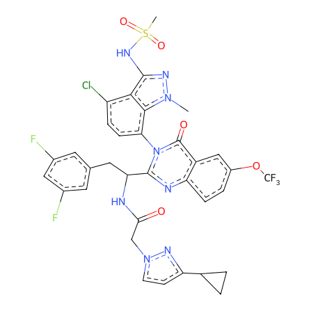 Cn1nc(NS(C)(=O)=O)c2c(Cl)ccc(-n3c(C(Cc4cc(F)cc(F)c4)NC(=O)Cn4ccc(C5CC5)n4)nc4ccc(OC(F)(F)F)cc4c3=O)c21